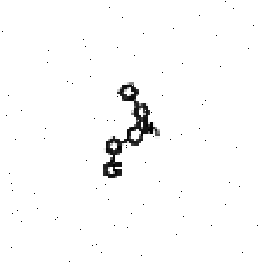 CCn1c2ccc(-c3ccccc3)cc2c2cc(-c3cccc(-c4ccccc4)c3)ccc21